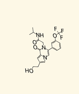 CC(C)NC(=O)Cn1c(-c2cccc(OC(F)(F)F)c2)cn2cc(CCO)cc2c1=O